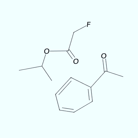 CC(=O)c1ccccc1.CC(C)OC(=O)CF